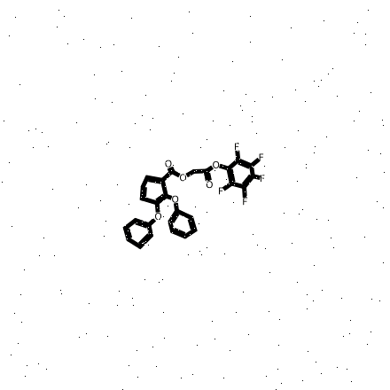 O=C(COC(=O)c1cccc(Oc2ccccc2)c1Oc1ccccc1)Oc1c(F)c(F)c(F)c(F)c1F